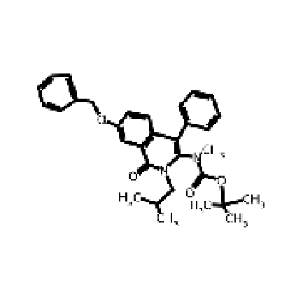 CC(C)Cn1c(N(C)C(=O)OC(C)(C)C)c(-c2ccccc2)c2ccc(OCc3ccccc3)cc2c1=O